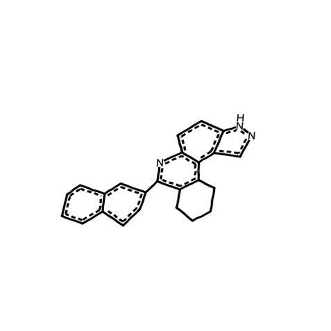 c1ccc2cc(-c3nc4ccc5[nH]ncc5c4c4c3CCCC4)ccc2c1